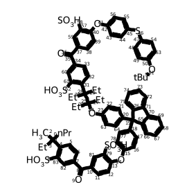 CCCC(C)(CC)c1ccc(C(=O)c2ccc(Oc3ccc(C4(c5ccc(OC(CC)(CC)C(CC)(CC)c6ccc(C(=O)c7ccc(Oc8ccc(Sc9ccc(OC(C)(C)C)cc9)cc8)c(S(=O)(=O)O)c7)cc6S(=O)(=O)O)cc5)c5ccccc5-c5ccccc54)cc3)c(S(=O)(=O)O)c2)cc1S(=O)(=O)O